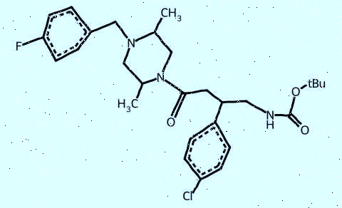 CC1CN(C(=O)CC(CNC(=O)OC(C)(C)C)c2ccc(Cl)cc2)C(C)CN1Cc1ccc(F)cc1